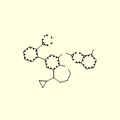 Fc1cccc2oc(Nc3cc(-c4ccccc4-c4nnn[nH]4)cc4c3OCCCC4C3CC3)nc12